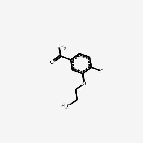 CCCOc1cc(C(C)=O)ccc1F